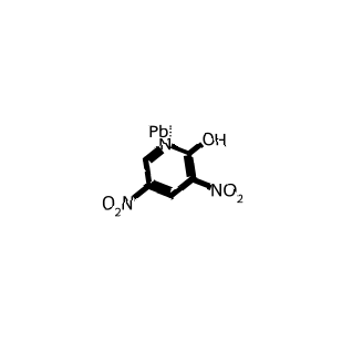 O=[N+]([O-])c1cnc(O)c([N+](=O)[O-])c1.[Pb]